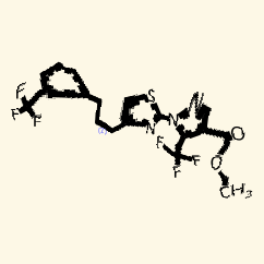 CCOC(=O)c1cnn(-c2nc(/C=C\Cc3cccc(C(F)(F)F)c3)cs2)c1C(F)(F)F